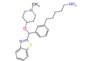 CN1CCC(OC(c2cccc(CCCCCN)c2)c2nc3ccccc3s2)CC1